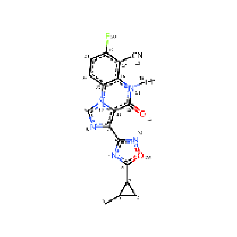 CC1CC1c1nc(-c2ncn3c2c(=O)n(C(C)C)c2c(C#N)c(F)ccc23)no1